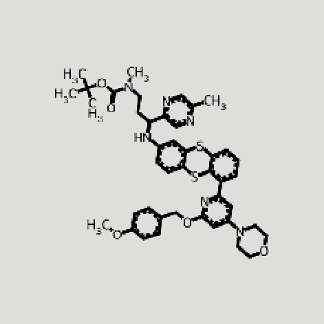 COc1ccc(COc2cc(N3CCOCC3)cc(-c3cccc4c3Sc3ccc(NC(CCN(C)C(=O)OC(C)(C)C)c5cnc(C)cn5)cc3S4)n2)cc1